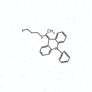 CC(SCCCI)=C1c2ccccc2N(c2ccccc2)c2ccccc21